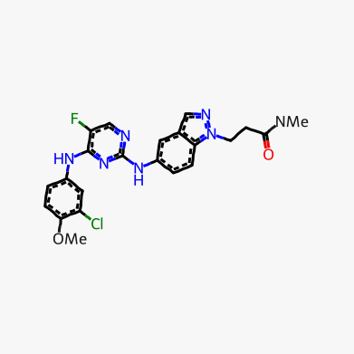 CNC(=O)CCn1ncc2cc(Nc3ncc(F)c(Nc4ccc(OC)c(Cl)c4)n3)ccc21